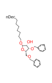 CCCCCCCCCCCCCCCCCO[C@@H]1O[C@H](COCc2ccccc2)[C@@H](OCc2ccccc2)[C@H]1O